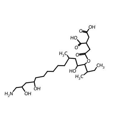 CCC(C)C(OC(=O)CC(CC(=O)O)C(=O)O)C(O)CC(C)CCCCCCC(O)CC(O)CN